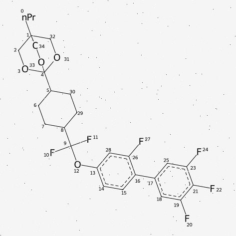 CCCC12COC(C3CCC(C(F)(F)Oc4ccc(-c5cc(F)c(F)c(F)c5)c(F)c4)CC3)(OC1)OC2